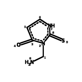 NCn1c(=O)cc[nH]c1=S